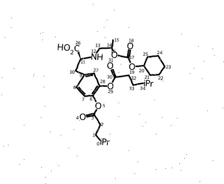 CC(C)CCC(=O)Oc1ccc(C[C@H](NCC(C)OC(=O)OC2CCCCC2)C(=O)O)cc1OC(=O)CCC(C)C